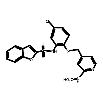 O=C(O)Nc1cc(CSc2ccc(Cl)cc2NS(=O)(=O)c2cc3ccccc3o2)ccn1